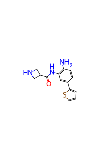 Nc1ccc(-c2cccs2)cc1NC(=O)C1CNC1